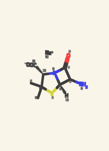 CC1(C)S[C@@H]2C(N)C(=O)N2[C@H]1C(=O)[O-].[Na+]